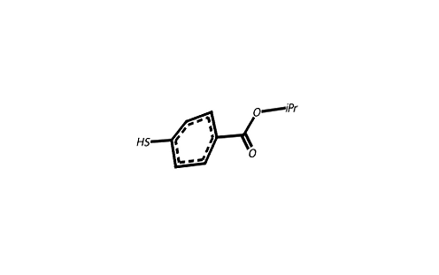 CC(C)OC(=O)c1ccc(S)cc1